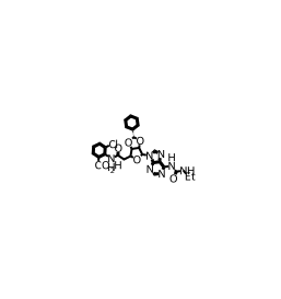 CCNC(=O)Nc1ncnc2c1ncn2C1OC(CC(=O)Nc2c(Cl)cccc2C(=O)O)C2O[C@H](c3ccccc3)OC21